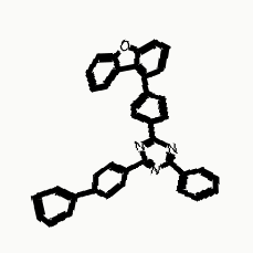 C1=CC(c2ccccc2)CC=C1c1nc(-c2ccccc2)nc(-c2ccc(-c3cccc4oc5ccccc5c34)cc2)n1